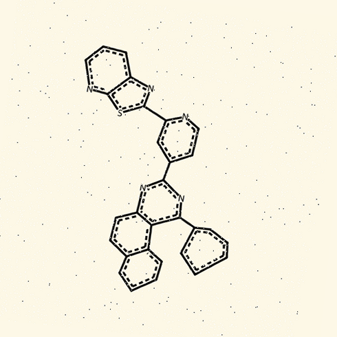 c1ccc(-c2nc(-c3ccnc(-c4nc5cccnc5s4)c3)nc3ccc4ccccc4c23)cc1